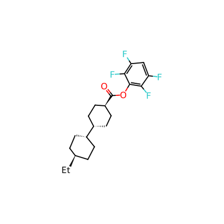 CC[C@H]1CC[C@H]([C@H]2CC[C@H](C(=O)Oc3c(F)c(F)cc(F)c3F)CC2)CC1